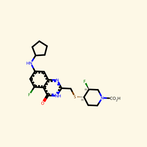 O=C(O)N1CC[C@H](SCc2nc3cc(NC4CCCC4)cc(F)c3c(=O)[nH]2)[C@@H](F)C1